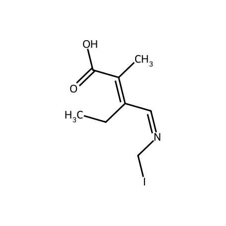 CCC(/C=N\CI)=C(/C)C(=O)O